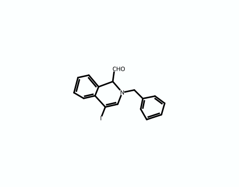 O=CC1c2ccccc2C(I)=CN1Cc1ccccc1